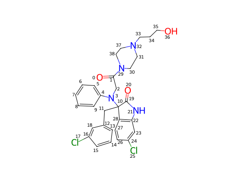 O=C(CN(c1ccccc1)C1(Cc2cccc(Cl)c2)C(=O)Nc2cc(Cl)ccc21)N1CCN(CCCO)CC1